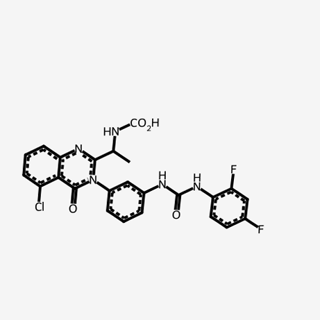 CC(NC(=O)O)c1nc2cccc(Cl)c2c(=O)n1-c1cccc(NC(=O)Nc2ccc(F)cc2F)c1